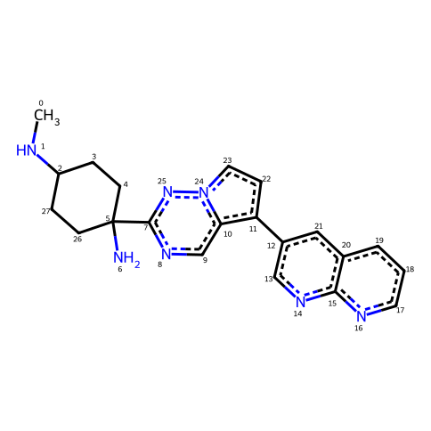 CNC1CCC(N)(c2ncc3c(-c4cnc5ncccc5c4)ccn3n2)CC1